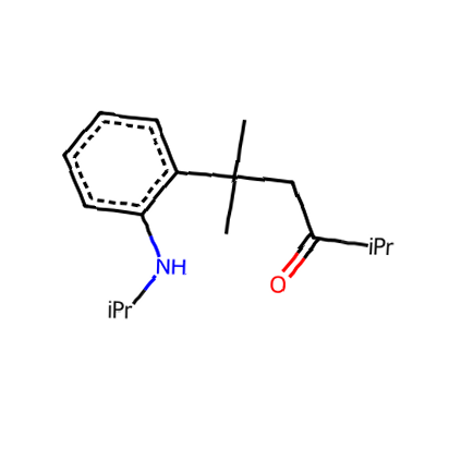 CC(C)Nc1ccccc1C(C)(C)CC(=O)C(C)C